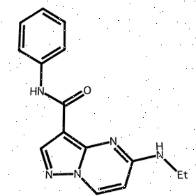 CCNc1ccn2ncc(C(=O)Nc3ccccc3)c2n1